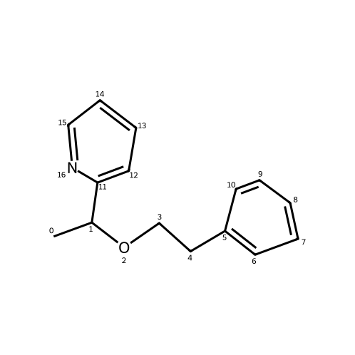 CC(OCCc1ccccc1)c1ccccn1